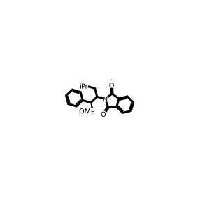 CO[C@@H](c1ccccc1)C(CC(C)C)N1C(=O)c2ccccc2C1=O